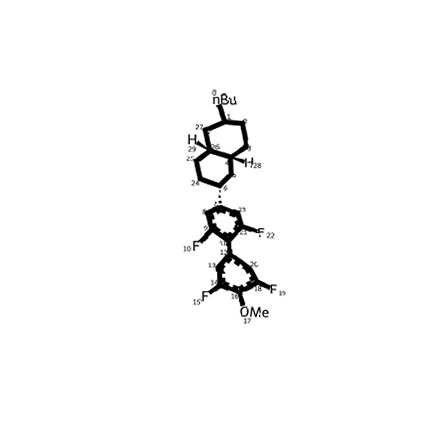 CCCCC1CC[C@@H]2C[C@H](c3cc(F)c(-c4cc(F)c(OC)c(F)c4)c(F)c3)CC[C@@H]2C1